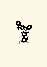 Cc1cc(-c2c(F)c(F)c(F)c(F)c2F)cc(C)c1-n1c2ccccc2c2cc3c(cc21)C(C)(C)c1ccccc1-3